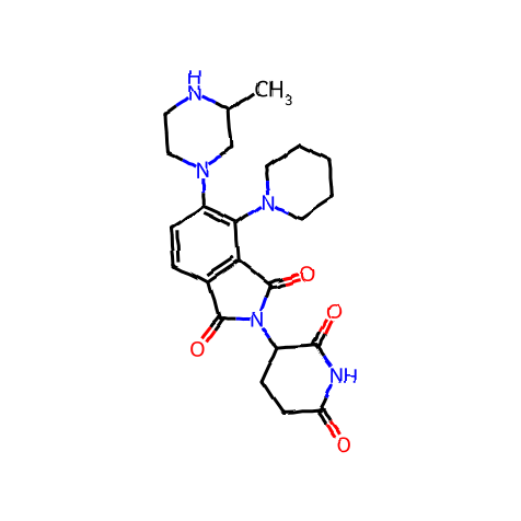 CC1CN(c2ccc3c(c2N2CCCCC2)C(=O)N(C2CCC(=O)NC2=O)C3=O)CCN1